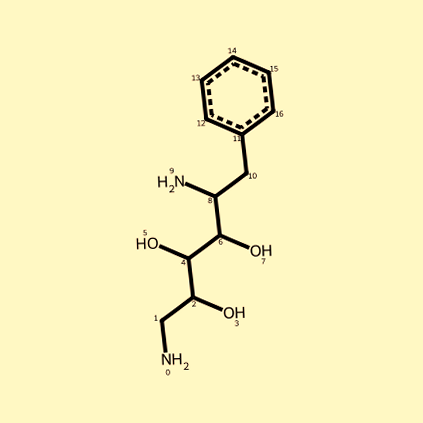 NCC(O)C(O)C(O)C(N)Cc1ccccc1